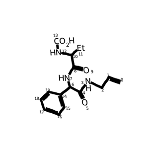 C=CCNC(=O)C(NC(=O)C(CC)NC(=O)O)c1ccccc1